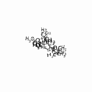 CC(C)OC(=O)C(N)(CC(C)(C)C1CC1)C1(C)C=CC(B2OC(C)(C)C(C)(C)O2)=CC1